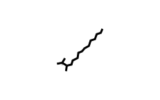 CCCCCCCCCCCCC(C)[C](C)C